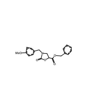 COc1ccc(CN2CC(C(=O)OCc3ccccc3)OC2=O)cc1